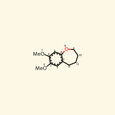 COc1cc2c(cc1OC)OCC[CH]C2